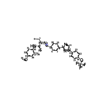 CCN(/N=C/c1ccc(-c2ncn(-c3ccc(OC(F)(F)F)cc3)n2)cc1)C(=S)Nc1ccc(OC)cc1C